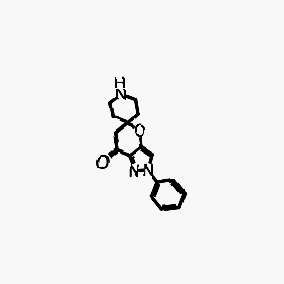 O=C1CC2(CCNCC2)Oc2cn(-c3ccccc3)nc21